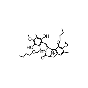 CCCCOC[C@H]1c2c(O)c(OC)c(C)c(O)c2C=C2C3c4c(cc(C)c(OC)c4OCCCC)CC(C(=O)N21)N3C